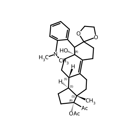 CC(=O)O[C@]1(C(C)=O)CC[C@H]2[C@@H]3CC[C@]4(O)C(=C3CC[C@@]21C)CCC1(OCCO1)C4c1ccccc1N(C)C